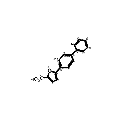 O=C(O)c1ccc(-c2ccc(-c3ccccc3)cn2)o1